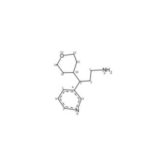 NCCC(c1cccnc1)C1CCOCC1